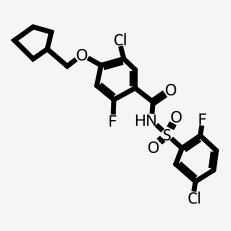 O=C(NS(=O)(=O)c1cc(Cl)ccc1F)c1cc(Cl)c(OCC2CCCC2)cc1F